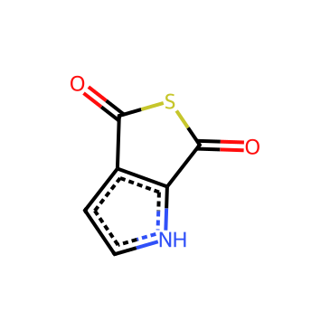 O=C1SC(=O)c2[nH]ccc21